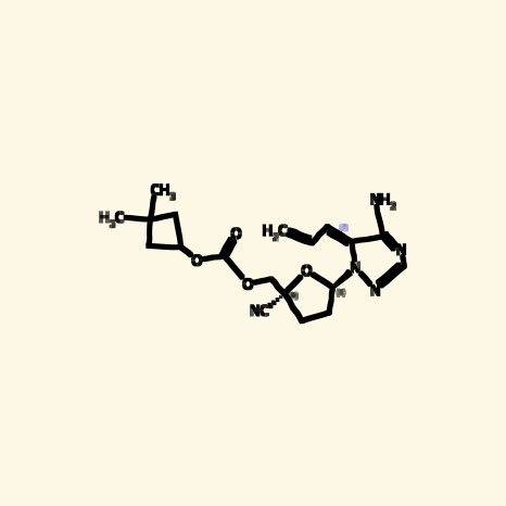 C=C/C=C1/C(N)=NC=NN1[C@H]1CC[C@@](C#N)(COC(=O)OC2CC(C)(C)C2)O1